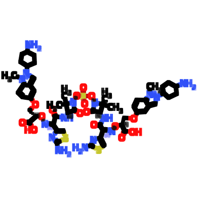 C[n+]1c2ccc(OC[C@H](O/N=C(\C(=O)N[C@@H]3C(=O)N(OS(=O)(=O)ON4C(=O)[C@@H](NC(=O)/C(=N\O[C@@H](COc5ccc6c(c5)cn(C5CCC(N)CC5)[n+]6C)C(=O)O)c5csc(N)n5)C4(C)C)C3(C)C)c3csc(N)n3)C(=O)O)cc2cn1C1CCC(N)CC1